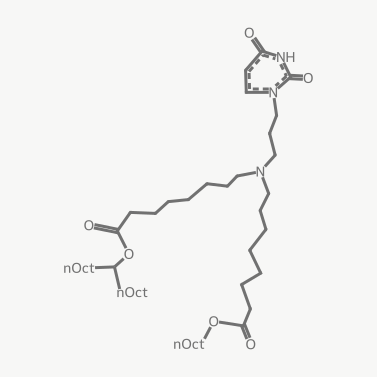 CCCCCCCCOC(=O)CCCCCCCN(CCCCCCCC(=O)OC(CCCCCCCC)CCCCCCCC)CCCn1ccc(=O)[nH]c1=O